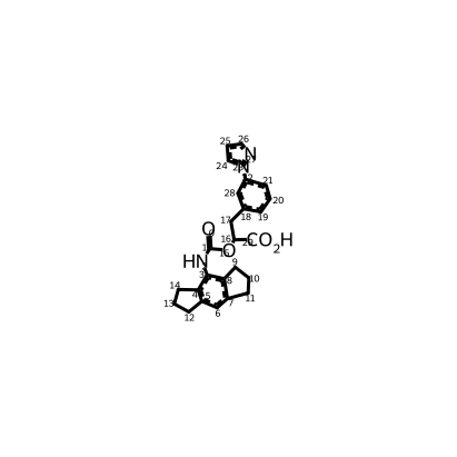 O=C(Nc1c2c(cc3c1CCC3)CCC2)OC(Cc1cccc(-n2cccn2)c1)C(=O)O